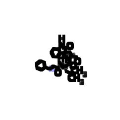 CC(C)C[C@H](NC(=O)/C=C/c1ccccc1)C(=O)N1C[C@]2(C[C@H]1C=O)C(=O)Nc1ccccc12